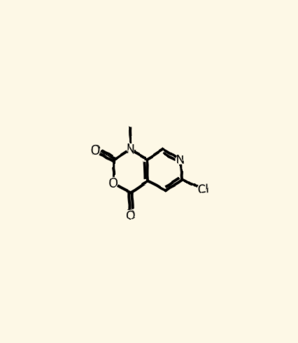 Cn1c(=O)oc(=O)c2cc(Cl)ncc21